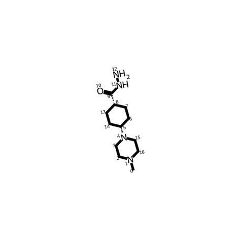 CN1CCN([C@H]2CC[C@@H](C(=O)NN)CC2)CC1